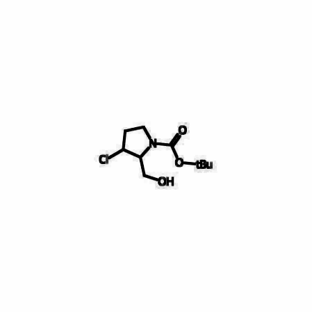 CC(C)(C)OC(=O)N1CCC(Cl)C1CO